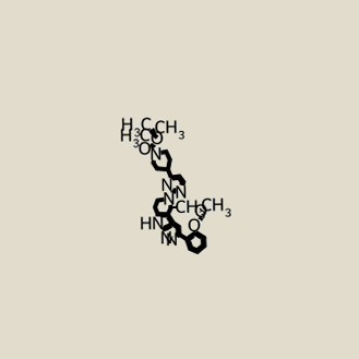 COCOc1ccccc1-c1cc2c3c([nH]c2nn1)CCN(c1nccc(C2CCN(C(=O)OC(C)(C)C)CC2)n1)[C@H]3C